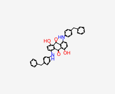 O=C1c2c(O)ccc(Nc3ccc(Cc4ccccc4)cc3)c2C(=O)c2c(O)ccc(Nc3ccc(Cc4ccccc4)cc3)c21